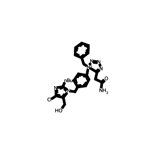 CCCCc1nc(Cl)c(CO)n1Cc1ccc([N+]2(Cc3ccccc3)N=NN=C2CC(N)=O)cc1